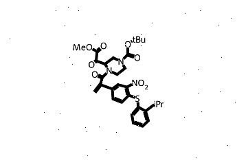 C=C(C(=O)N1CCN(C(=O)OC(C)(C)C)CC1C(=O)C(=O)OC)c1ccc(Sc2ccccc2C(C)C)c([N+](=O)[O-])c1